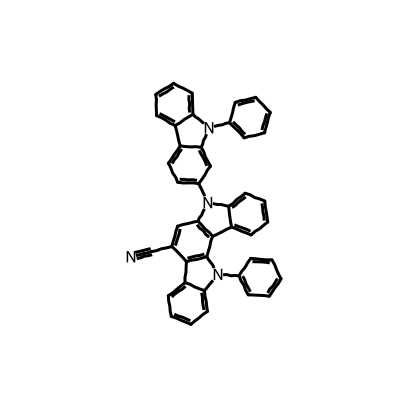 N#Cc1cc2c(c3ccccc3n2-c2ccc3c4ccccc4n(-c4ccccc4)c3c2)c2c1c1ccccc1n2-c1ccccc1